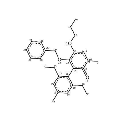 CCCOc1nn(C)c(=O)c(-c2c(CC)cc(C)cc2CC)c1OCc1ccccc1